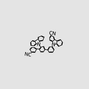 N#Cc1cccc(-c2ccc(-c3cccc(-n4c5ccccc5c5cc(C#N)ccc54)c3)cc2-n2c3ccccc3c3ccccc32)c1